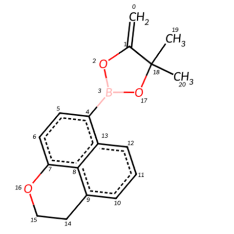 C=C1OB(c2ccc3c4c(cccc24)CCO3)OC1(C)C